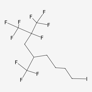 FC(F)(F)C(CCCCI)CC(F)(C(F)(F)F)C(F)(F)F